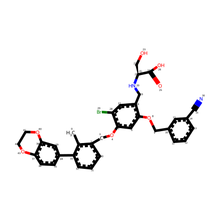 Cc1c(COc2cc(OCc3cccc(C#N)c3)c(CN[C@@H](CO)C(=O)O)cc2Br)cccc1-c1ccc2c(c1)OCCO2